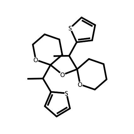 CC(c1cccs1)C1(OC2(C(C)c3cccs3)CCCCO2)CCCCO1